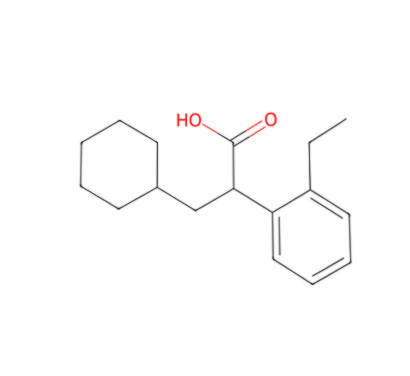 CCc1ccccc1C(CC1CCCCC1)C(=O)O